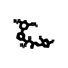 CC1CN(c2cccc(C(C)NC(=O)C=Cc3ccc(F)cc3F)c2)CC(C)O1